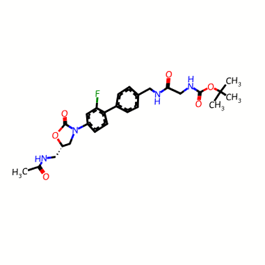 CC(=O)NC[C@H]1CN(c2ccc(-c3ccc(CNC(=O)CNC(=O)OC(C)(C)C)cc3)c(F)c2)C(=O)O1